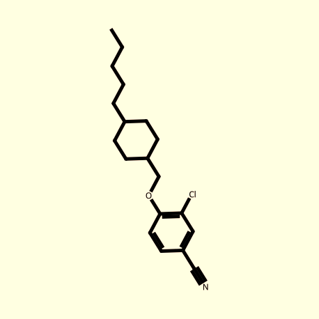 CCCCCC1CCC(COc2ccc(C#N)cc2Cl)CC1